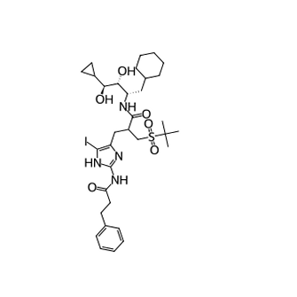 CC(C)(C)S(=O)(=O)CC(Cc1nc(NC(=O)CCc2ccccc2)[nH]c1I)C(=O)N[C@@H](CC1CCCCC1)[C@@H](O)[C@@H](O)C1CC1